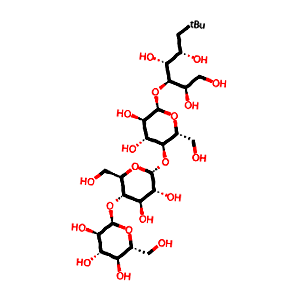 CC(C)(C)C[C@H](O)[C@@H](O)[C@H](O[C@H]1O[C@H](CO)[C@@H](O[C@H]2O[C@H](CO)[C@@H](O[C@H]3O[C@H](CO)[C@@H](O)[C@H](O)[C@H]3O)[C@H](O)[C@H]2O)[C@H](O)[C@H]1O)[C@H](O)CO